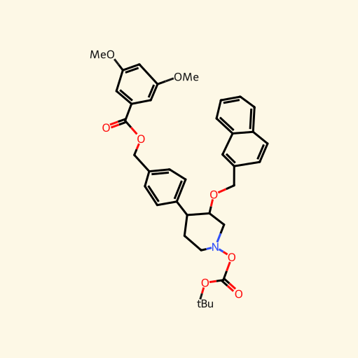 COc1cc(OC)cc(C(=O)OCc2ccc(C3CCN(OC(=O)OC(C)(C)C)CC3OCc3ccc4ccccc4c3)cc2)c1